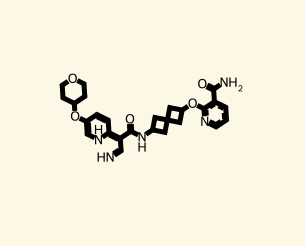 N=C/C(C(=O)NC1CC2(C1)CC(Oc1ncccc1C(N)=O)C2)=C1/C=CC(OC2CCOCC2)=CN1